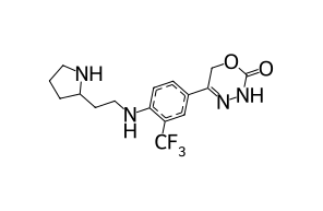 O=C1NN=C(c2ccc(NCCC3CCCN3)c(C(F)(F)F)c2)CO1